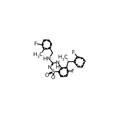 Cc1c(F)cccc1CNC1=NS(=O)(=O)c2ccc(F)c([C@H](C)c3ccccc3F)c2N1